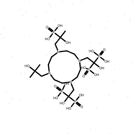 CC(C)(O)CN1CCN(CC(C)(O)P(=O)(O)O)CCN(CC(O)(P(=O)(O)O)P(=O)(O)O)CCN(CC(O)(P(=O)(O)O)P(=O)(O)O)CC1